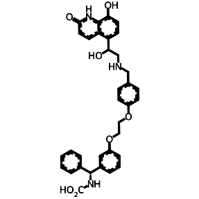 O=C(O)N[C@@H](c1ccccc1)c1cccc(OCCOc2ccc(CNCC(O)c3ccc(O)c4[nH]c(=O)ccc34)cc2)c1